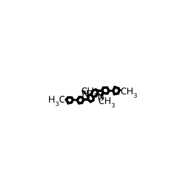 Cc1ccc(-c2ccc3c4ccc5c(ccc6c7ccc(-c8ccc(C)cc8)cc7n(C)c65)c4n(C)c3c2)cc1